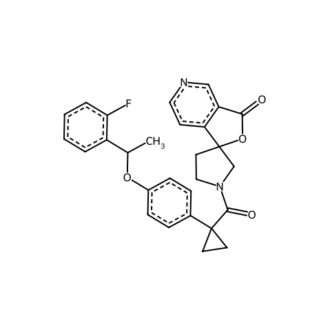 CC(Oc1ccc(C2(C(=O)N3CCC4(C3)OC(=O)c3cnccc34)CC2)cc1)c1ccccc1F